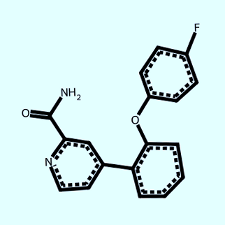 NC(=O)c1cc(-c2ccccc2Oc2ccc(F)cc2)ccn1